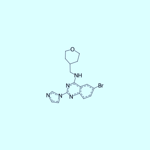 Brc1ccc2nc(-n3ccnc3)nc(NCC3CCOCC3)c2c1